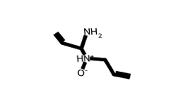 C=CC[NH+]([O-])C(N)C=C